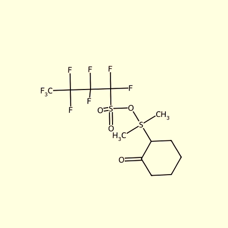 CS(C)(OS(=O)(=O)C(F)(F)C(F)(F)C(F)(F)C(F)(F)F)C1CCCCC1=O